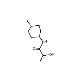 C[C@H](O)C(=O)N[C@H]1CC[C@@H](C)CC1